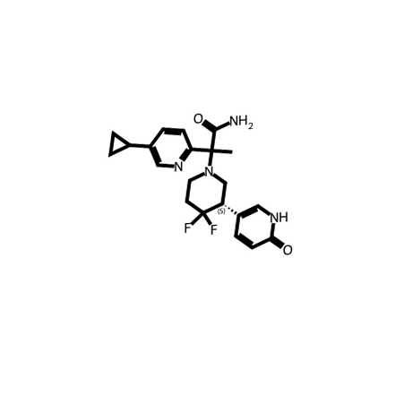 CC(C(N)=O)(c1ccc(C2CC2)cn1)N1CCC(F)(F)[C@@H](c2ccc(=O)[nH]c2)C1